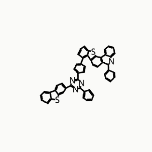 c1ccc(-c2nc(-c3ccc(-c4cccc5sc6c(ccc7c(-c8ccccc8)nc8ccccc8c76)c45)cc3)nc(-c3ccc4c(c3)sc3ccccc34)n2)cc1